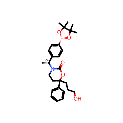 C[C@@H](c1ccc(B2OC(C)(C)C(C)(C)O2)cc1)N1CCC(CCCO)(c2ccccc2)OC1=O